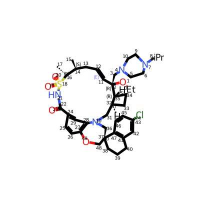 CCO[C@@]1(CN2CCN(C(C)C)CC2)/C=C/C[C@H](C)[C@@H](C)S(=O)(=O)NC(=O)c2ccc3c(c2)N(C[C@@H]2CC[C@H]21)C[C@@]1(CCCc2cc(Cl)ccc21)CO3